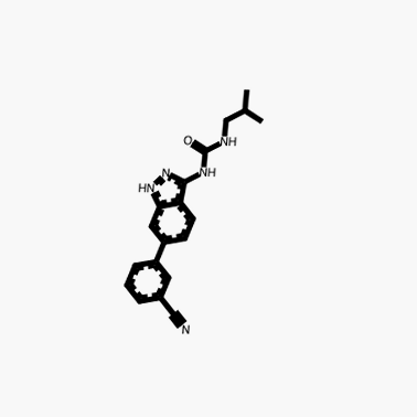 CC(C)CNC(=O)Nc1n[nH]c2cc(-c3cccc(C#N)c3)ccc12